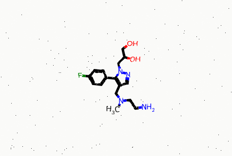 CN(CCN)Cc1cnn(CC(O)CO)c1-c1ccc(F)cc1